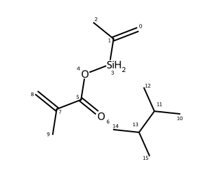 C=C(C)[SiH2]OC(=O)C(=C)C.CC(C)C(C)C